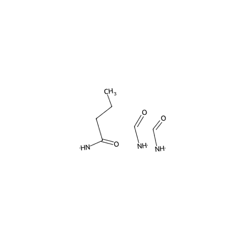 CCCC([NH])=O.[NH]C=O.[NH]C=O